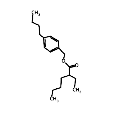 CCCCc1ccc(COC(=O)C(CC)CCCC)cc1